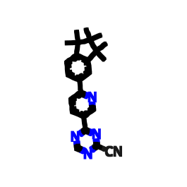 CC1(C)c2ccc(-c3ccc(-c4ncnc(C#N)n4)cn3)cc2C(C)(C)C1(C)C